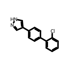 Clc1ccccc1-c1ccc(-c2cn[nH]c2)cc1